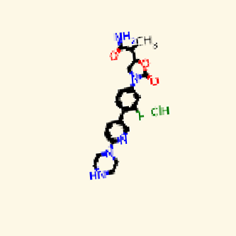 CC(C(N)=O)C1CN(c2ccc(-c3ccc(N4CCNCC4)nc3)c(F)c2)C(=O)O1.Cl